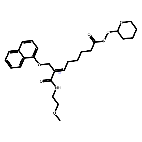 COCCNC(=O)/C(=C/CCCCC(=O)NOC1CCCCO1)COc1cccc2ccccc12